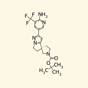 CC(C)(C)OC(=O)N1CC[C@@]2(CCn3nc(-c4cnc(N)c(C(F)(F)F)c4)cc32)C1